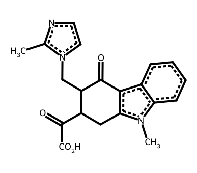 Cc1nccn1CC1C(=O)c2c(n(C)c3ccccc23)CC1C(=O)C(=O)O